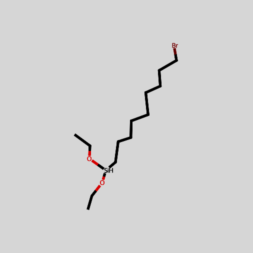 CCO[SiH](CCCCCCCCCBr)OCC